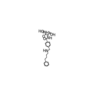 C[C@@H](O)[C@H](NC(=O)c1ccc(CNCCCCc2ccccc2)cc1)C(=O)NO